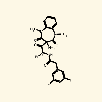 CC(C)[C@H](NC(=O)Cc1cc(F)cc(F)c1)C(=O)C1(N)C(=O)N(C)c2ccccc2N(C)C1=O